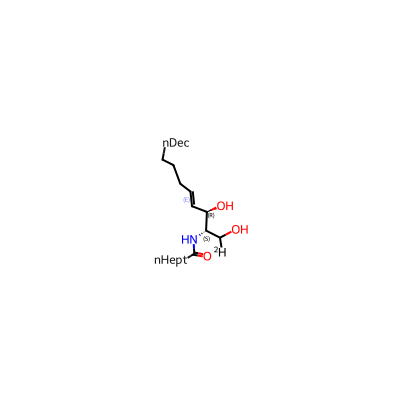 [2H]C(O)[C@H](NC(=O)CCCCCCC)[C@H](O)/C=C/CCCCCCCCCCCCC